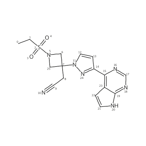 CCS(=O)(=O)N1CC(CC#N)(n2ccc(-c3ncnc4[nH]ccc34)n2)C1